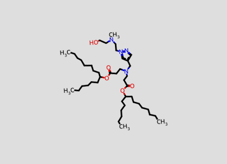 CCCCCCCCC(CCCCCC)OC(=O)CCN(CCC(=O)OC(CCCCCC)CCCCCCCC)Cc1cnn(CCN(C)CCO)c1